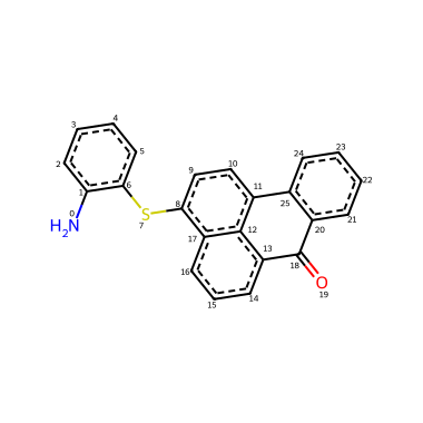 Nc1ccccc1Sc1ccc2c3c(cccc13)C(=O)c1ccccc1-2